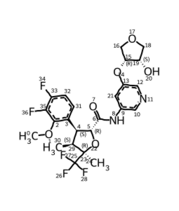 COc1c([C@H]2[C@H](C(=O)Nc3cncc(O[C@@H]4COC[C@@H]4O)c3)O[C@@](C)(C(F)(F)F)[C@H]2C)ccc(F)c1F